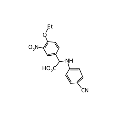 CCOc1ccc(C(Nc2ccc(C#N)cc2)C(=O)O)cc1[N+](=O)[O-]